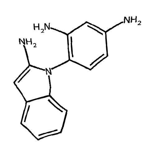 Nc1ccc(-n2c(N)cc3ccccc32)c(N)c1